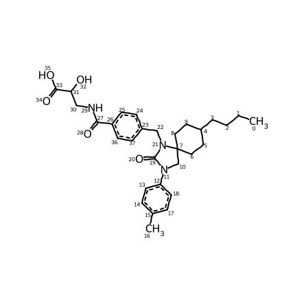 CCCCC1CCC2(CC1)CN(c1ccc(C)cc1)C(=O)N2Cc1ccc(C(=O)NCC(O)C(=O)O)cc1